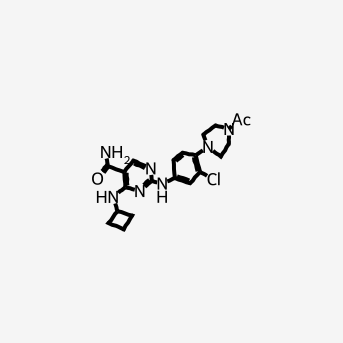 CC(=O)N1CCN(c2ccc(Nc3ncc(C(N)=O)c(NC4CCC4)n3)cc2Cl)CC1